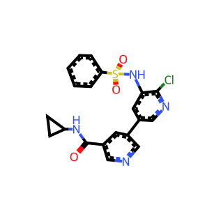 O=C(NC1CC1)c1cncc(-c2cnc(Cl)c(NS(=O)(=O)c3ccccc3)c2)c1